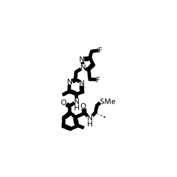 CSC[C@H](C)NC(=O)c1c(C)cccc1C(=O)Nc1cnc(Cn2nc(CF)cc2CF)nc1C